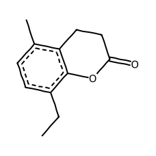 CCc1ccc(C)c2c1OC(=O)CC2